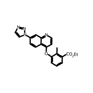 CCOC(=O)c1cccc(Oc2ccnc3cc(-n4ccnn4)ccc23)c1C